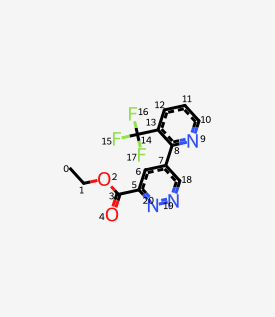 CCOC(=O)c1cc(-c2ncccc2C(F)(F)F)cnn1